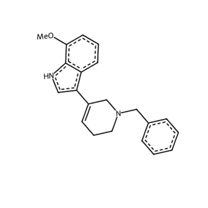 COc1cccc2c(C3=CCCN(Cc4ccccc4)C3)c[nH]c12